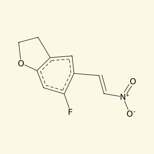 O=[N+]([O-])C=Cc1cc2c(cc1F)OCC2